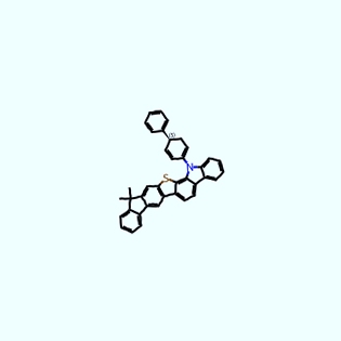 CC1(C)c2ccccc2-c2cc3c(cc21)sc1c3ccc2c3ccccc3n(C3=CC[C@H](c4ccccc4)C=C3)c21